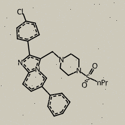 CCCS(=O)(=O)N1CCN(Cc2c(-c3ccc(Cl)cc3)nc3ccc(-c4ccccc4)cn23)CC1